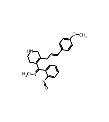 C/N=C(\C1=C(C/C=C/c2ccc(OC)cc2)CNCC1)c1ccccc1N=O